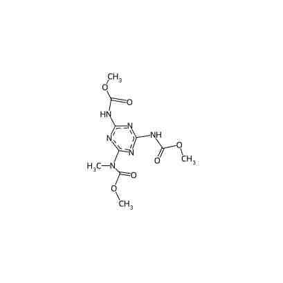 COC(=O)Nc1nc(NC(=O)OC)nc(N(C)C(=O)OC)n1